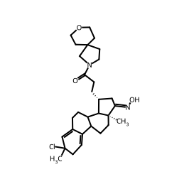 CC1(Cl)C=C2CCC3C(CC[C@]4(C)/C(=N/O)C[C@@H](CCC(=O)N5CCC6(CCOCC6)C5)C34)C2=CC1